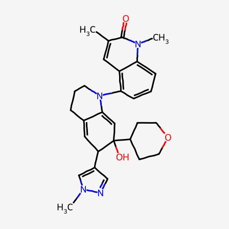 Cc1cc2c(N3CCCC4=CC(c5cnn(C)c5)C(O)(C5CCOCC5)C=C43)cccc2n(C)c1=O